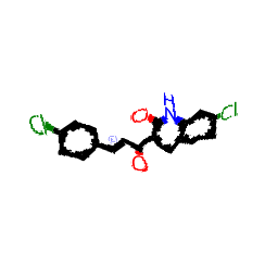 O=C(/C=C/c1ccc(Cl)cc1)c1cc2ccc(Cl)cc2[nH]c1=O